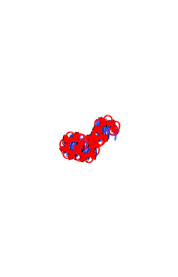 CC[C@H](C)[C@H](NC(=O)[C@@H](NC(=O)[C@@H](NC(=O)[C@@H](NC(=O)[C@@H](NC(=O)[C@@H](NC(=O)[C@@H](NC(=O)[C@@H](NC(=O)[C@@H](NC(=O)[C@@H](NC(=O)[C@@H](NC(=O)[C@@H](NC(=O)[C@@H](NC(=O)[C@@H](NC(=O)[C@@H](NC(=O)OC(C)(C)C)C(C)C)[C@@H](C)CC)[C@@H](C)CC)[C@@H](C)CC)[C@@H](C)CC)[C@@H](C)CC)[C@@H](C)CC)[C@@H](C)CC)[C@@H](C)CC)[C@@H](C)CC)[C@@H](C)CC)[C@@H](C)CC)[C@@H](C)CC)[C@@H](C)CC)C(=O)O